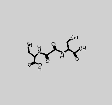 O=C(NC(CS)C(=O)O)C(=O)NC(CS)C(=O)O